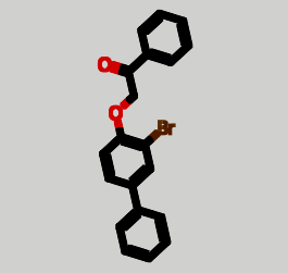 O=C(COc1ccc(-c2ccccc2)cc1Br)c1ccccc1